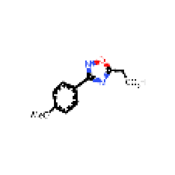 COc1ccc(-c2noc(CC(=O)O)n2)cc1